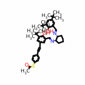 CC(=O)Sc1ccc(C#Cc2cc(C=N[C@@H]3CCCC[C@H]3N=Cc3cc(C(C)(C)C)cc(C(C)(C)C)c3O)c(O)c(C(C)(C)C)c2)cc1